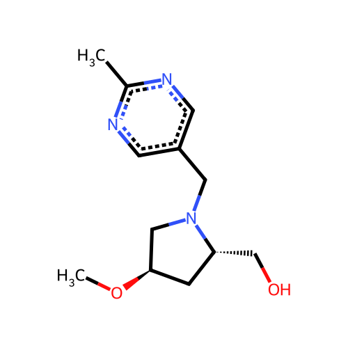 CO[C@@H]1C[C@@H](CO)N(Cc2cnc(C)nc2)C1